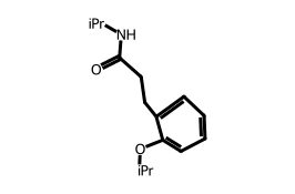 CC(C)NC(=O)CCc1ccccc1OC(C)C